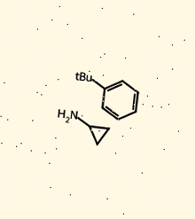 CC(C)(C)c1ccccc1.NC1CC1